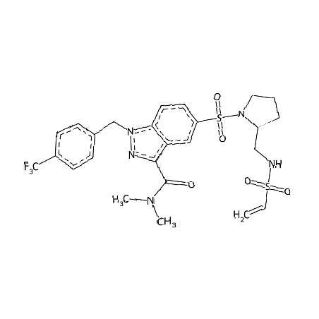 C=CS(=O)(=O)NCC1CCCN1S(=O)(=O)c1ccc2c(c1)c(C(=O)N(C)C)nn2Cc1ccc(C(F)(F)F)cc1